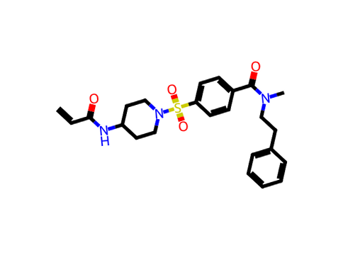 C=CC(=O)NC1CCN(S(=O)(=O)c2ccc(C(=O)N(C)CCc3ccccc3)cc2)CC1